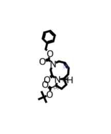 CC(C)(C)OC(=O)[C@@H]1CC[C@H]2C/C=C\CN(C(=O)OCc3ccccc3)CC(=O)N21